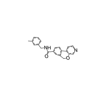 Cc1cccc(CNC(=O)c2ccc3c(c2)COc2cnccc2-3)c1